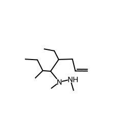 C=CCC(CC)C(C(C)CC)N(C)NC